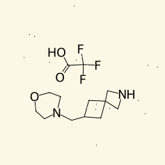 C1CN(CC2CC3(CNC3)C2)CCO1.O=C(O)C(F)(F)F